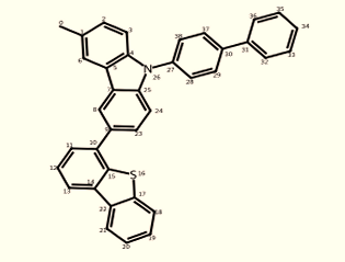 Cc1ccc2c(c1)c1cc(-c3cccc4c3sc3ccccc34)ccc1n2-c1ccc(-c2ccccc2)cc1